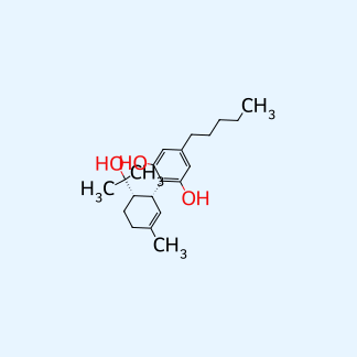 CCCCCc1cc(O)c([C@@H]2C=C(C)CC[C@@H]2C(C)(C)O)c(O)c1